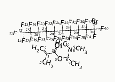 C=C(C)C(=O)OC(C)N(C)C.FC(F)(F)C(F)(F)C(F)(F)C(F)(F)C(F)(F)C(F)(F)C(F)(F)C(F)(F)C(F)(F)C(F)(F)Br